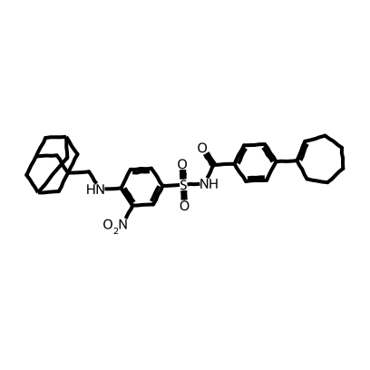 O=C(NS(=O)(=O)c1ccc(NCC23CC4CC(CC(C4)C2)C3)c([N+](=O)[O-])c1)c1ccc(C2=CCCCCC2)cc1